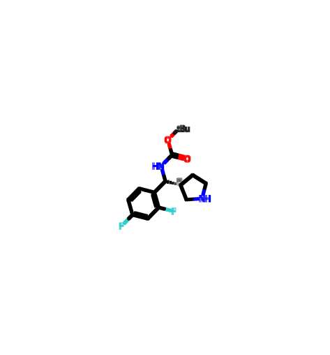 CC(C)(C)OC(=O)NC(c1ccc(F)cc1F)[C@@H]1CCNC1